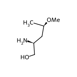 CO[C@H](C)C[C@H](N)CO